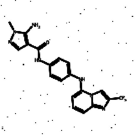 Cn1ncc(C(=O)Nc2ccc(Nc3cccc4nc(C(F)(F)F)cn34)cc2)c1N